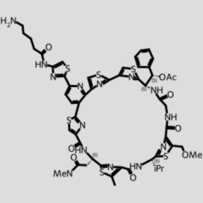 CNC(=O)C[C@@H]1NC(=O)c2csc(n2)-c2ccc(-c3nc(NC(=O)CCCCN)cs3)nc2-c2csc(n2)-c2csc(n2)[C@H]([C@@H](OC(C)=O)c2ccccc2)NC(=O)CNC(=O)c2nc(sc2COC)[C@H](C(C)C)NC(=O)c2nc1sc2C